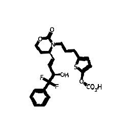 O=C(O)Oc1ccc(CCCN2C(=O)OCC[C@@H]2/C=C/[C@@H](O)C(F)(F)c2ccccc2)s1